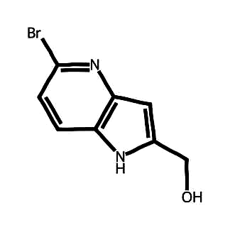 OCc1cc2nc(Br)ccc2[nH]1